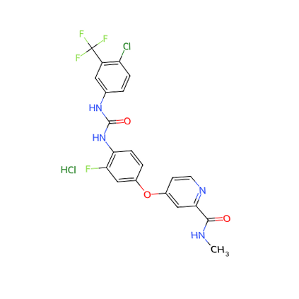 CNC(=O)c1cc(Oc2ccc(NC(=O)Nc3ccc(Cl)c(C(F)(F)F)c3)c(F)c2)ccn1.Cl